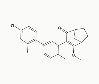 COC1=C(c2cc(-c3ccc(Cl)cc3C)ccc2C)C(=O)C2CCC1C2